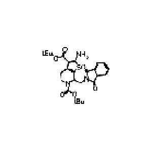 CC(C)(C)OC(=O)c1c(N)sc2c1CCN(C(=O)OC(C)(C)C)C2CN1C(=O)c2ccccc2C1=O